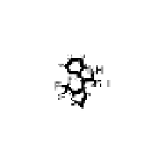 FC(F)(F)c1sccc1-c1c(S)[nH]c2ccccc12